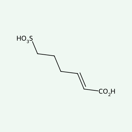 O=C(O)C=CCCCS(=O)(=O)O